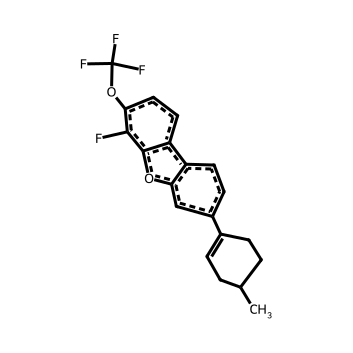 CC1CC=C(c2ccc3c(c2)oc2c(F)c(OC(F)(F)F)ccc23)CC1